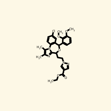 CCOC(=O)c1cnn(CCC2OC(c3cccc(OC)c3OC)c3cc(Cl)ccc3-n3c2nc(C)c3C)c1